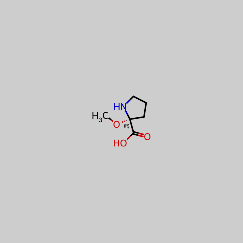 CO[C@@]1(C(=O)O)CCCN1